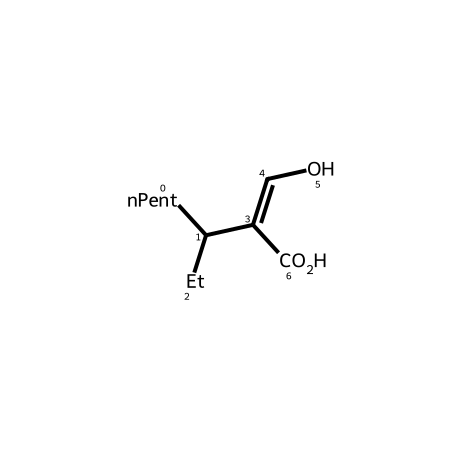 CCCCCC(CC)C(=CO)C(=O)O